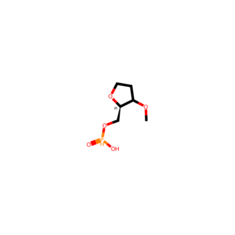 COC1CCO[C@@H]1CO[PH](=O)O